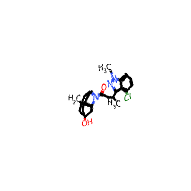 CC(CC(=O)N1C2CC3(C)CC1CC(O)(C2)C3)c1nn(C)c2cccc(Cl)c12